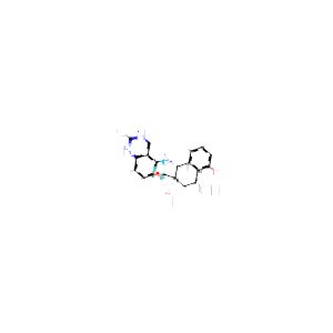 Cc1ncc2c(N[C@H]3c4cccc(O)c4[C@H](C)C[C@@]3(O)C(F)(F)F)cccc2n1